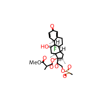 COC(=O)C(C)C(=O)O[C@]1(C(=O)COS(C)(=O)=O)[C@@H](C)C[C@H]2[C@@H]3CCC4=CC(=O)C=C[C@]4(C)[C@@]3(F)[C@@H](O)C[C@@]21C